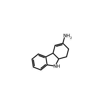 NC1=CC2c3ccccc3NC2CC1